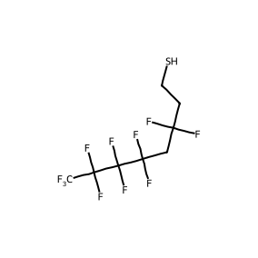 FC(F)(CCS)CC(F)(F)C(F)(F)C(F)(F)C(F)(F)F